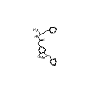 COc1cc(CC(=O)NC(C)CCc2ccccc2)ccc1OCc1ccccc1